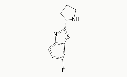 Fc1ccc2nc([C@@H]3CCCN3)sc2c1